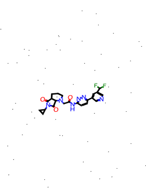 O=C(CN1CCCC2C(=O)N(C3CC3)C(=O)C21)Nc1ccc(-c2cncc(C(F)F)c2)nn1